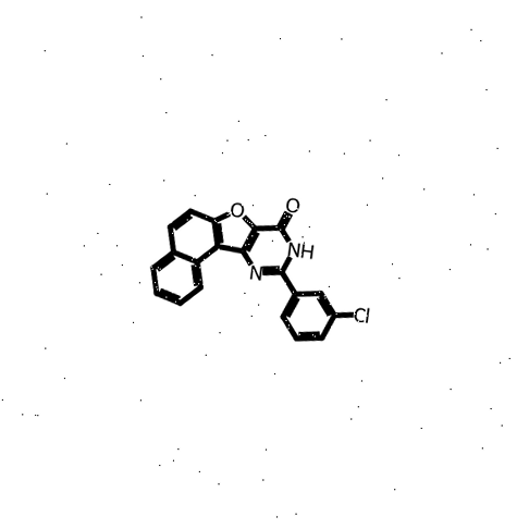 O=c1[nH]c(-c2cccc(Cl)c2)nc2c1oc1ccc3ccccc3c12